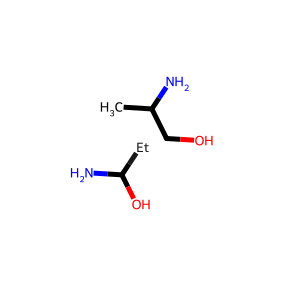 CC(N)CO.CCC(N)O